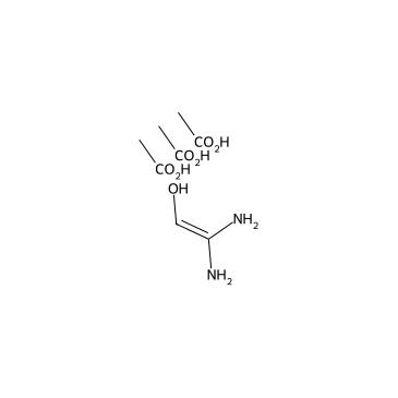 CC(=O)O.CC(=O)O.CC(=O)O.NC(N)=CO